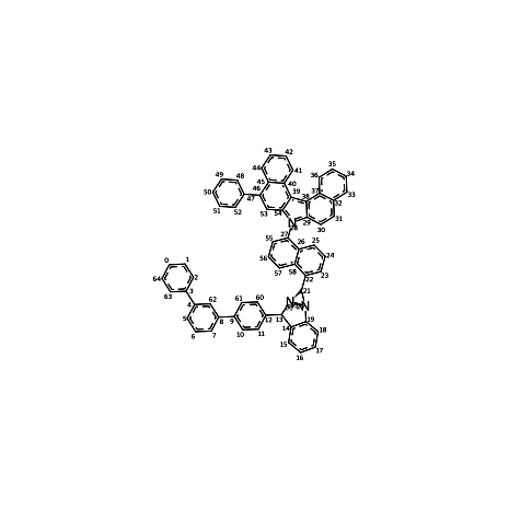 c1ccc(-c2cccc(-c3ccc(C4c5ccccc5N5C(c6cccc7c(-n8c9ccc%10ccccc%10c9c9c%10ccccc%10c(-c%10ccccc%10)cc98)cccc67)[N@]45)cc3)c2)cc1